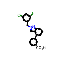 O=C(O)c1cccc(-c2cccc3nn(Cc4cc(F)cc(Cl)c4)cc23)c1